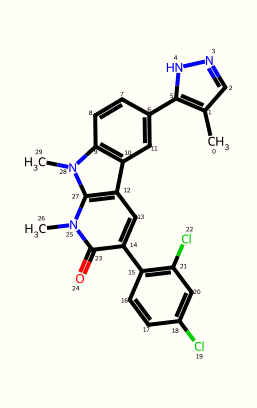 Cc1cn[nH]c1-c1ccc2c(c1)c1cc(-c3ccc(Cl)cc3Cl)c(=O)n(C)c1n2C